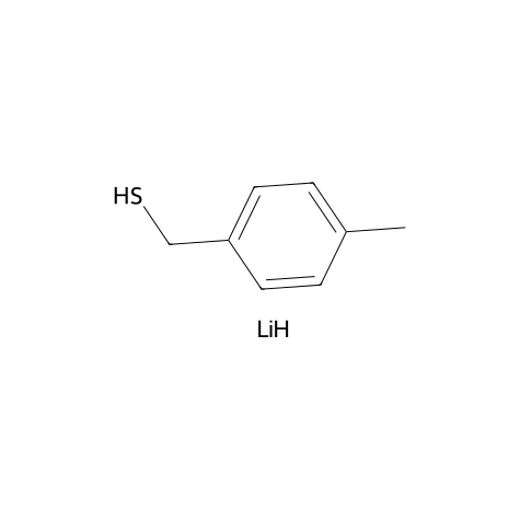 Cc1ccc(CS)cc1.[LiH]